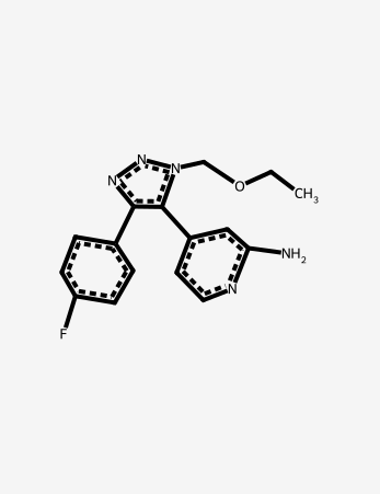 CCOCn1nnc(-c2ccc(F)cc2)c1-c1ccnc(N)c1